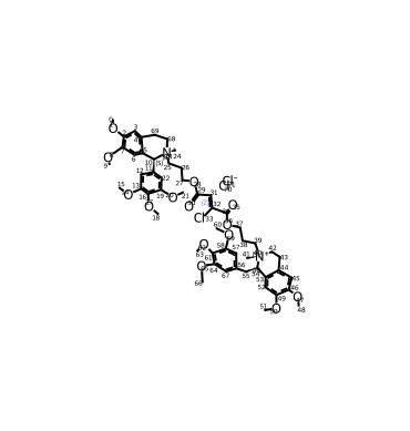 COc1cc2c(cc1OC)[C@H](c1cc(OC)c(OC)c(OC)c1)[N@@+](C)(CCCOC(=O)/C=C(\Cl)C(=O)OCCC[N@+]1(C)CCc3cc(OC)c(OC)cc3[C@H]1Cc1cc(OC)c(OC)c(OC)c1)CC2.[Cl-].[Cl-]